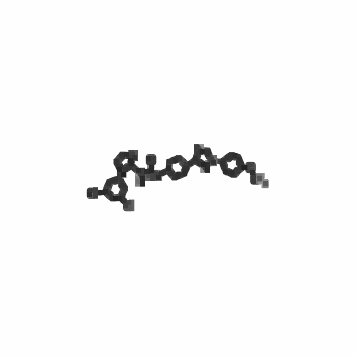 O=C(Nc1ccc(-c2ncn(-c3ccc(OC(F)(F)F)cc3)n2)cc1)Nc1nccn1-c1cc(Cl)cc(Cl)c1